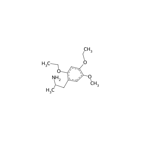 CCOc1cc(OCC)c(OC)cc1CC(C)N